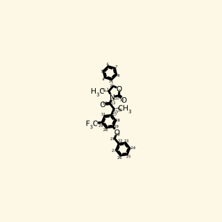 C[C@@H]1[C@H](c2ccccc2)OC(=O)N1C(=O)[C@H](C)c1cc(OCc2ccccc2)cc(C(F)(F)F)c1